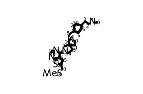 C=NCCc1ccc(CN2CCC3(CCN(c4ncnc5sc(CSC)cc45)C3)C2)cc1